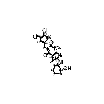 Cn1c(NC2CCCC[C@@H]2O)nc2c1c(=O)n(Cc1ccc(Cl)c(Cl)c1)c(=O)n2C